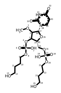 COC1C(OP(=O)(O)OCCCCO)[C@@H](COP(=O)(O)OCCCCO)O[C@H]1n1ccc(=O)[nH]c1=O